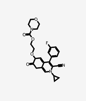 N#CC1=C(c2cccc(F)c2)C2=CC(OCCOC(=O)N3CCOCC3)C(=O)CC2=CN1C1CC1